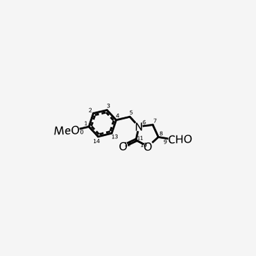 COc1ccc(CN2CC(C=O)OC2=O)cc1